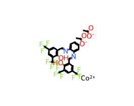 CC(=O)[O-].CC(=O)[O-].Oc1c(C=Nc2ccccc2N=Cc2cc(C(F)(F)F)cc(C(F)(F)F)c2O)cc(C(F)(F)F)cc1C(F)(F)F.[Co+2]